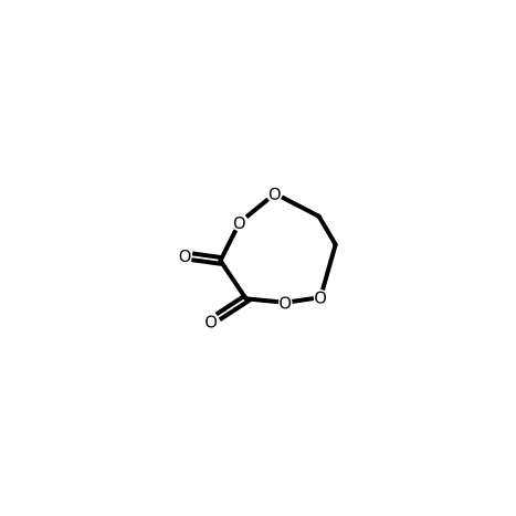 O=C1OOCCOOC1=O